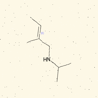 C/C=C(\C)CNC(C)C